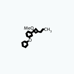 C/C=C/C1CC(OC)(c2cccc(Oc3ccccc3)c2)C1